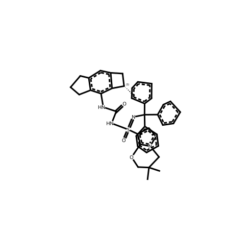 C[C@H]1Cc2cc3c(c(NC(=O)NS(=O)(=NC(c4ccccc4)(c4ccccc4)c4ccccc4)c4cnn5c4OCC(C)(C)C5)c21)CCC3